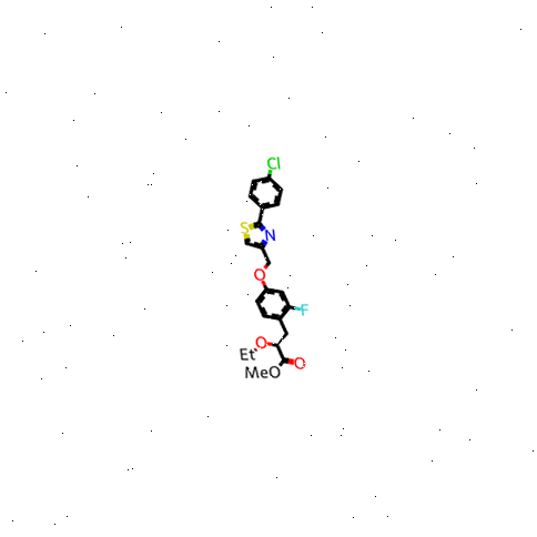 CCO[C@@H](Cc1ccc(OCc2csc(-c3ccc(Cl)cc3)n2)cc1F)C(=O)OC